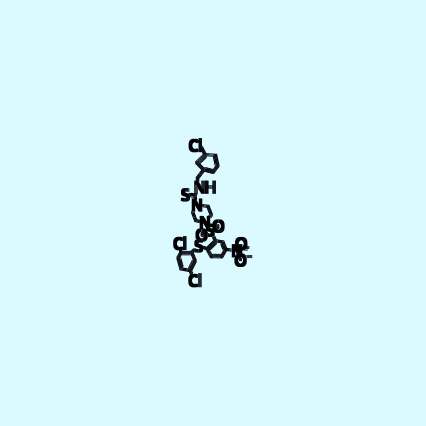 O=[N+]([O-])c1ccc(Sc2cc(Cl)ccc2Cl)c(S(=O)(=O)N2CCN(C(=S)NCc3cccc(Cl)c3)CC2)c1